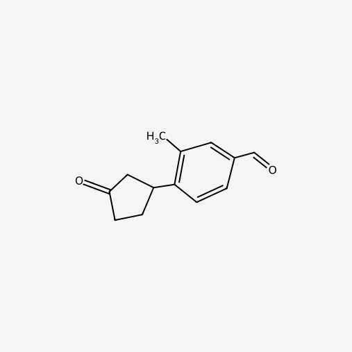 Cc1cc(C=O)ccc1C1CCC(=O)C1